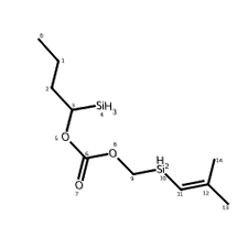 CCCC([SiH3])OC(=O)OC[SiH2]C=C(C)C